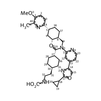 COc1ccc([C@H]2CC[C@H](CN(c3cc(-c4coc(C5CC5)n4)ccn3)C(=O)[C@H]3CC[C@H](CCNC(=O)O)CC3)CC2)nc1C